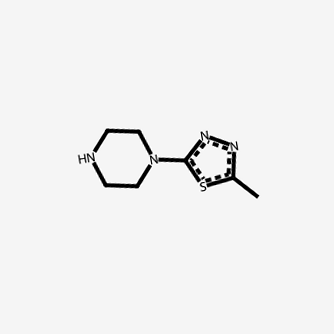 Cc1nnc(N2CCNCC2)s1